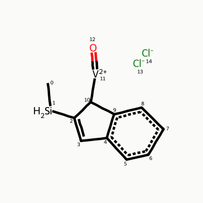 C[SiH2]C1=Cc2ccccc2[CH]1[V+2]=[O].[Cl-].[Cl-]